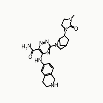 CN1CCN(C2CC3CC2N(c2nnc(C(N)=O)c(Nc4ccc5c(c4)CCNC5)n2)C3)C1=O